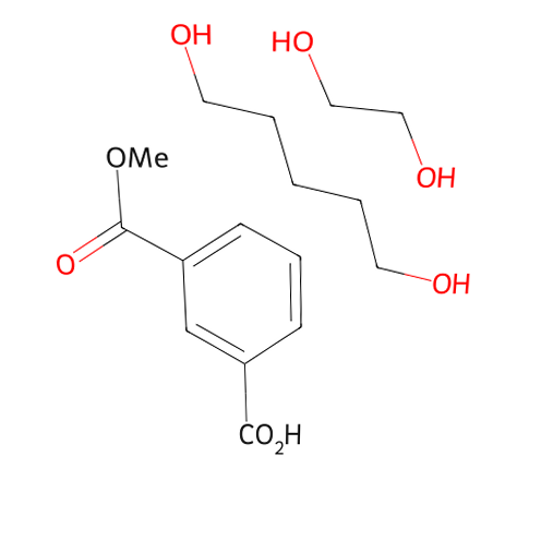 COC(=O)c1cccc(C(=O)O)c1.OCCCCCO.OCCO